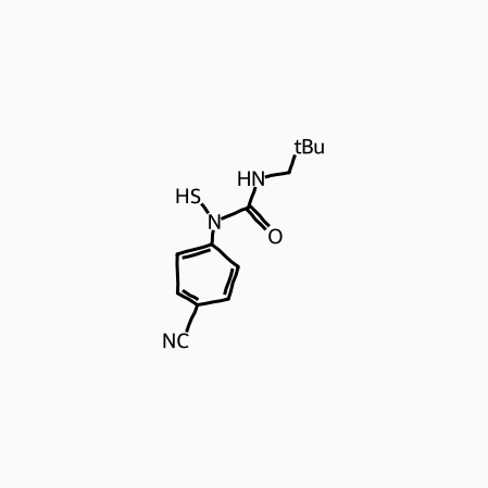 CC(C)(C)CNC(=O)N(S)c1ccc(C#N)cc1